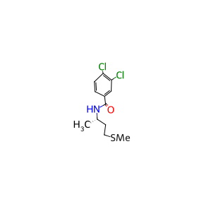 CSCC[C@H](C)NC(=O)c1ccc(Cl)c(Cl)c1